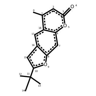 Cc1cc(=O)oc2cc3oc(C(C)(C)C)cc3cc12